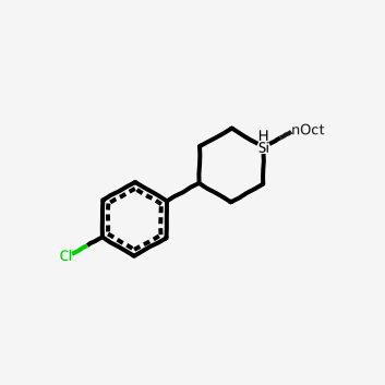 CCCCCCCC[SiH]1CCC(c2ccc(Cl)cc2)CC1